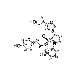 CC(CO)c1nc(-c2ncn3c2c(=O)n(CCN2CCC(O)CC2)c2c(Cl)cccc23)no1